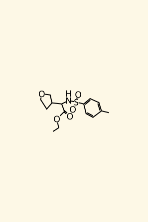 CCOC(=O)C(NS(=O)(=O)c1ccc(C)cc1)C1CCOC1